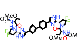 COC(=O)N[C@H](C(=O)N1CC(F)(F)C[C@H]1c1nc(-c2ccc(-c3ccc(-c4c[nH]c([C@@H]5CC(F)(F)CN5C(=O)[C@@H](NC(=O)O)[C@@H](C)OC)n4)cc3)cc2)c[nH]1)[C@@H](C)OC